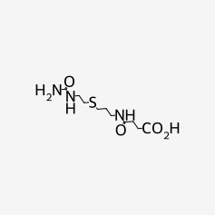 NC(=O)NCCSCCCNC(=O)CCC(=O)O